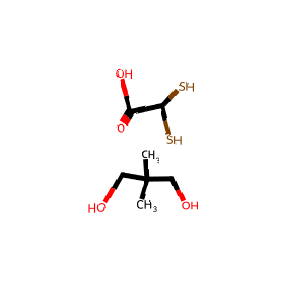 CC(C)(CO)CO.O=C(O)C(S)S